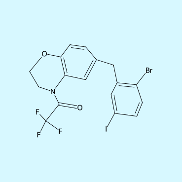 O=C(N1CCOc2ccc(Cc3cc(I)ccc3Br)cc21)C(F)(F)F